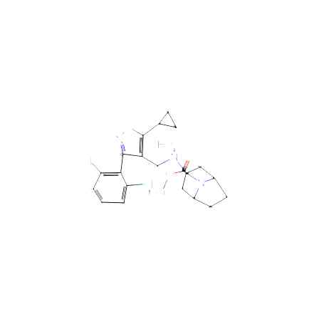 CN(Cc1c(-c2c(Cl)cccc2Cl)noc1C1CC1)C1CC2CCC(C1)N2C(=O)OC(C)(C)C